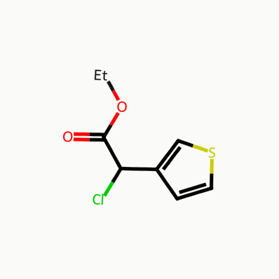 CCOC(=O)C(Cl)c1ccsc1